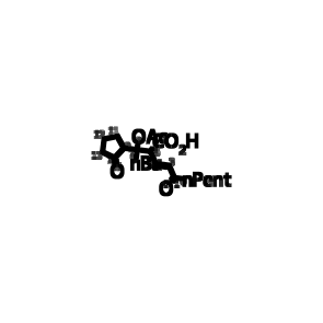 CCCCCC(=O)C=CC(C(=O)O)C(CCCC)(OC(C)=O)C1CCCC1=O